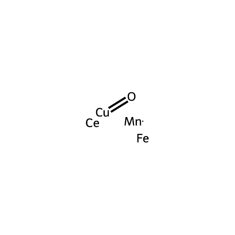 [Ce].[Fe].[Mn].[O]=[Cu]